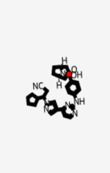 N#CCC(C1CCCC1)n1cc(-c2ccnc(Nc3ccc(C(=O)N4[C@@H]5CC[C@H]4C[C@@H](O)C5)cc3)n2)cn1